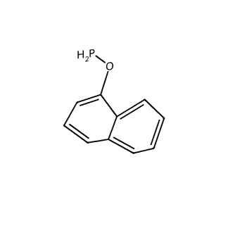 POc1cccc2ccccc12